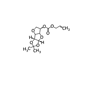 C=CCOC(=O)O[C@@H]1COC2C1O[C@@H]1OC(C)(C)O[C@H]21